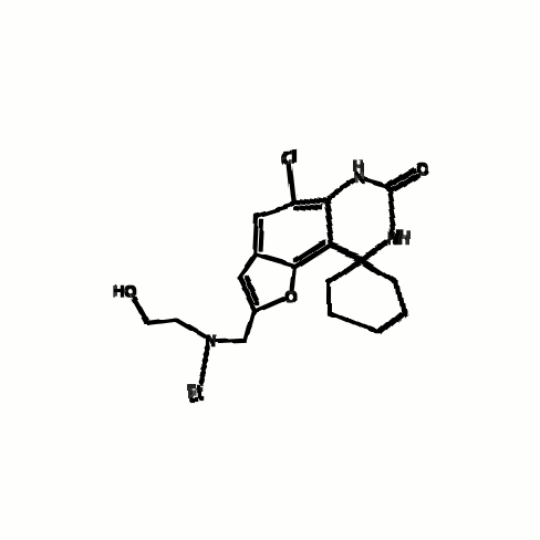 CCN(CCO)Cc1cc2cc(Cl)c3c(c2o1)C1(CCCCC1)NC(=O)N3